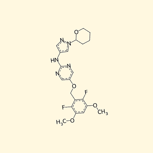 COc1cc(OC)c(F)c(COc2cnc(Nc3cnn(C4CCCCO4)c3)nc2)c1F